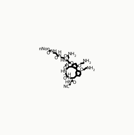 CCCCCCCCCC(=O)NCCC(=O)NCC(=O)N[C@@H](CCN)C(=O)N(C)[C@@H]1C(=O)N[C@@H](C)C(=O)N[C@H](C(=O)NCC#N)Cc2ccc(OCCN)c(c2)-c2cc1ccc2OCCN